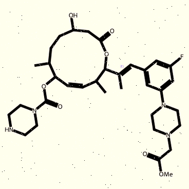 COC(=O)CN1CCN(c2cc(F)cc(/C=C(\C)C3OC(=O)CC(O)CCC(C)C(OC(=O)N4CCNCC4)C=CC3C)c2)CC1